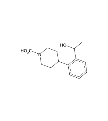 CC(O)c1ccccc1C1CCN(C(=O)O)CC1